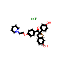 Cl.O=C(c1ccc(OCCN2CCCCC2)cc1)C1(c2ccc(O)cc2)Cc2ccc(O)cc2S1